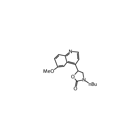 CCCCN1CC(c2ccnc3ccc(OC)cc23)OC1=O